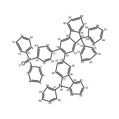 O=P(c1ccccc1)(c1ccccc1)c1ccc(-c2cc3c(cc2-c2ccc4c(c2)c2ccccc2n4-c2ccccc2)C(c2ccccc2)(c2ccccc2)c2ccccc2-3)cc1